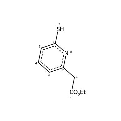 CCOC(=O)Cc1cccc(S)n1